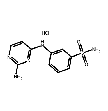 Cl.Nc1nccc(Nc2cccc(S(N)(=O)=O)c2)n1